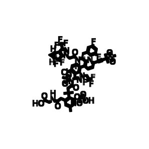 Cc1cc(CC(=O)NCC(=O)O)c(C(C)(C)CC(=O)N(c2nn(CC(F)(F)F)c3c(-c4ccc(C#CC(C)(C)S(C)(=O)=O)nc4[C@H](Cc4cc(F)cc(F)c4)NC(=O)Cn4nc(C(F)(F)F)c5c4C(F)(F)[C@@H]4C[C@H]54)ccc(Cl)c23)S(C)(=O)=O)c(OP(=O)(O)O)c1